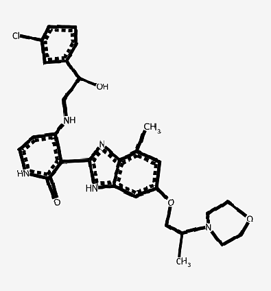 Cc1cc(OCC(C)N2CCOCC2)cc2[nH]c(-c3c(NCC(O)c4cccc(Cl)c4)cc[nH]c3=O)nc12